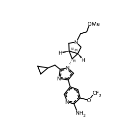 COCCN1C[C@@H]2[C@H](C1)[C@@H]2n1cc(-c2cnc(N)c(OC(F)(F)F)c2)nc1CC1CC1